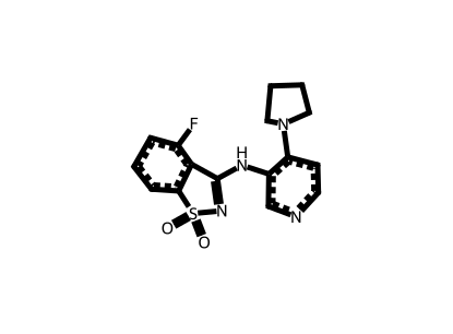 O=S1(=O)N=C(Nc2cnccc2N2CCCC2)c2c(F)cccc21